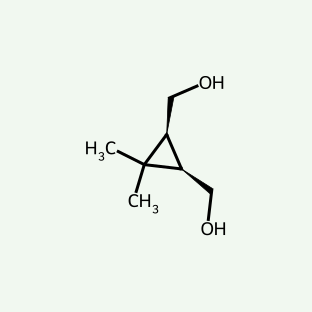 CC1(C)[C@H](CO)[C@@H]1CO